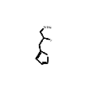 CC(=O)NCC(S)Cc1cccs1